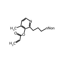 C=CC(=O)Oc1c(C)ccnc1CCCCCCCCCCCC